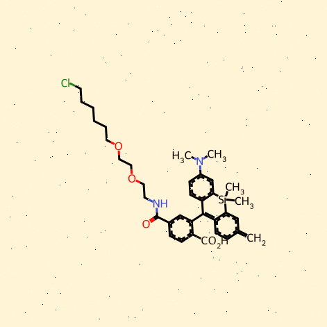 C=c1ccc2c(c1)[Si](C)(C)c1cc(N(C)C)ccc1C=2c1cc(C(=O)NCCOCCOCCCCCCCl)ccc1C(=O)O